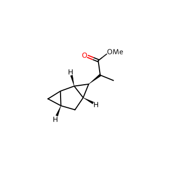 COC(=O)C(C)[C@H]1[C@@H]2C[C@@H]3CC3[C@@H]21